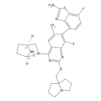 Nc1nc2c(-c3c(C(F)(F)F)cc4c(N5C[C@H]6CC[C@@H](C5)N6)nc(OCC56CCCN5CCC6)nc4c3F)ccc(F)c2s1